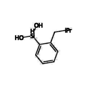 CC(C)Cc1ccccc1[SiH](O)O